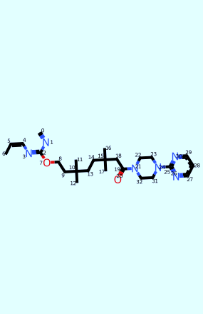 C=N/C(=N\C=C/C)OCCC(C)(C)CCC(C)(C)CC(=O)N1CCN(c2ncccn2)CC1